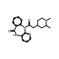 CC1CC(CC(=O)N2c3ccccc3C(=O)Nc3cccnc32)CCN1C